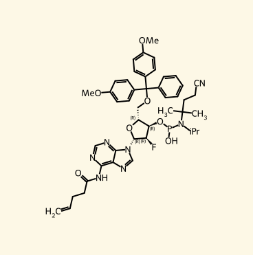 C=CCCC(=O)Nc1ncnc2c1ncn2[C@@H]1O[C@H](COC(c2ccccc2)(c2ccc(OC)cc2)c2ccc(OC)cc2)[C@@H](OP(O)N(C(C)C)C(C)(C)CCC#N)[C@H]1F